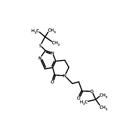 CC(C)(C)OC(=O)CCN1CCc2nc(SC(C)(C)C)ncc2C1=O